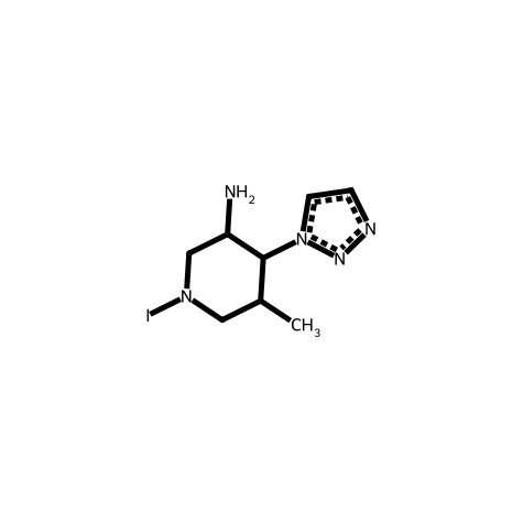 CC1CN(I)CC(N)C1n1ccnn1